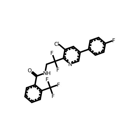 O=C(NCC(F)(F)c1ncc(-c2ccc(F)cc2)cc1Cl)c1ccccc1C(F)(F)F